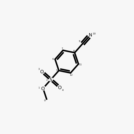 COS(=O)(=O)c1ccc(C#N)cc1